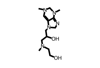 CN1C=C2C(=NCN2CC(O)CN(C)CCO)N(C)C1